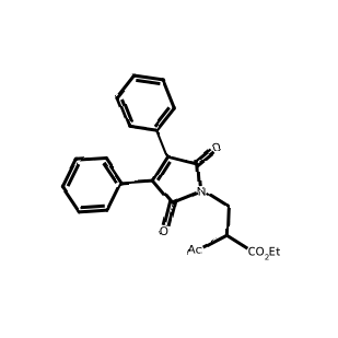 CCOC(=O)C(CN1C(=O)C(c2ccccc2)=C(c2ccccc2)C1=O)C(C)=O